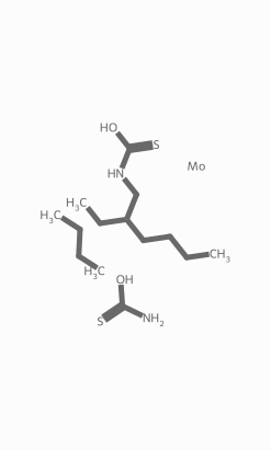 CCCC.CCCCC(CC)CNC(O)=S.NC(O)=S.[Mo]